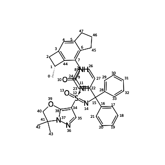 C[C@@H]1Cc2cc3c(c(NC(=O)N[S@@](=O)(=NC(c4ccccc4)(c4ccccc4)c4ccccc4)c4cnn5c4OCC5(C)C)c21)CCC3